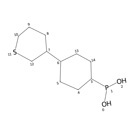 OP(O)C1CCC(C2CCCSC2)CC1